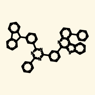 c1ccc(-c2nc(-c3cccc(-c4nc5cccc(-c6ccccc6)c5c5c4sc4ccccc45)c3)nc(-c3cccc(C4c5ccccc5-c5ccccc54)c3)n2)cc1